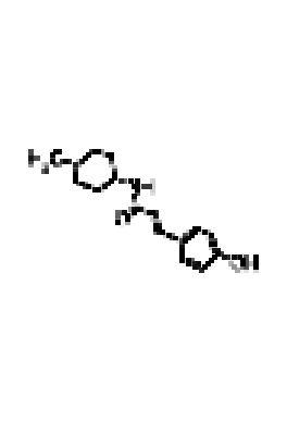 C[C@H]1CC[C@H](NC(=O)/C=C/c2ccc(O)cc2)CC1